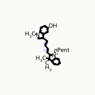 CCCCC[N+]1=C(/C=C/C=C/c2cn(C)c3ccc(O)cc23)C(C)(C)c2ccccc21